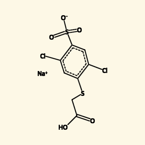 O=C(O)CSc1cc(Cl)c(S(=O)(=O)[O-])cc1Cl.[Na+]